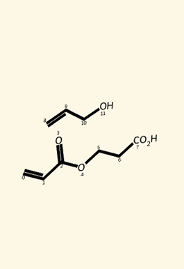 C=CC(=O)OCCC(=O)O.C=CCO